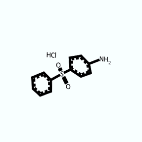 Cl.Nc1ccc(S(=O)(=O)c2ccccc2)cc1